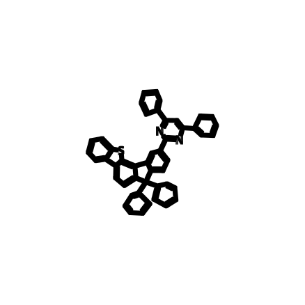 c1ccc(-c2cc(-c3ccccc3)nc(-c3ccc4c(c3)-c3c(ccc5c3sc3ccccc35)C4(c3ccccc3)c3ccccc3)n2)cc1